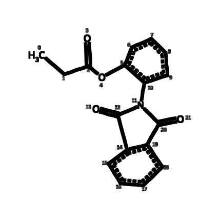 CCC(=O)Oc1ccccc1N1C(=O)c2ccccc2C1=O